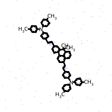 Cc1ccc(N(c2ccc(C)cc2)c2ccc(/C=C/c3ccc4c(c3)C(C)(C)c3cccc5c(/C=C/c6ccc(N(c7ccc(C)cc7)c7ccc(C)cc7)cc6)ccc-4c35)cc2)cc1